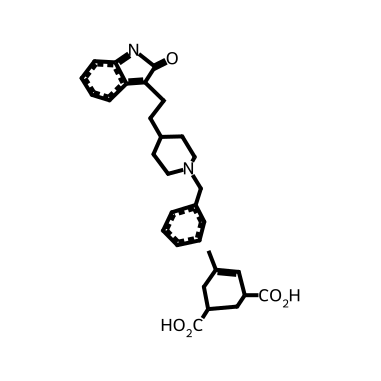 CC1=CC(C(=O)O)CC(C(=O)O)C1.O=C1N=c2ccccc2=C1CCC1CCN(Cc2ccccc2)CC1